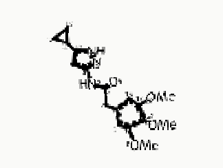 COc1cc(CC(=O)Nc2cc(C3CC3)[nH]n2)cc(OC)c1OC